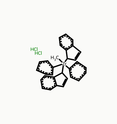 Cl.Cl.[CH3][Zr]([c]1ccccc1)([c]1ccccc1)([CH]1C=Cc2ccccc21)[CH]1C=Cc2ccccc21